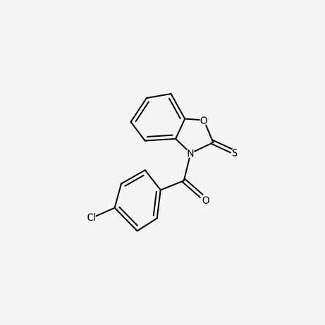 O=C(c1ccc(Cl)cc1)n1c(=S)oc2ccccc21